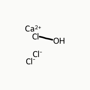 OCl.[Ca+2].[Cl-].[Cl-]